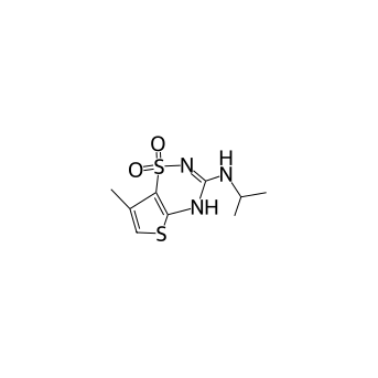 Cc1csc2c1S(=O)(=O)N=C(NC(C)C)N2